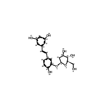 OC[C@H]1O[C@@H](Oc2cc(/C=C/c3cc(O)cc(O)c3)ccc2O)C[C@@H](O)[C@@H]1O